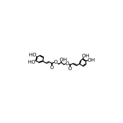 O=C(/C=C/c1ccc(O)c(O)c1)OCC(O)COC(=O)/C=C/c1ccc(O)c(O)c1